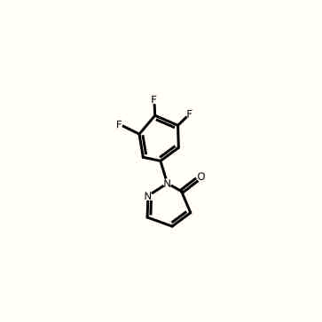 O=c1cccnn1-c1cc(F)c(F)c(F)c1